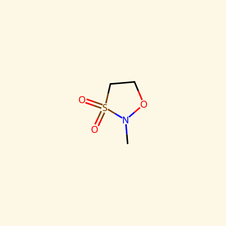 CN1OCCS1(=O)=O